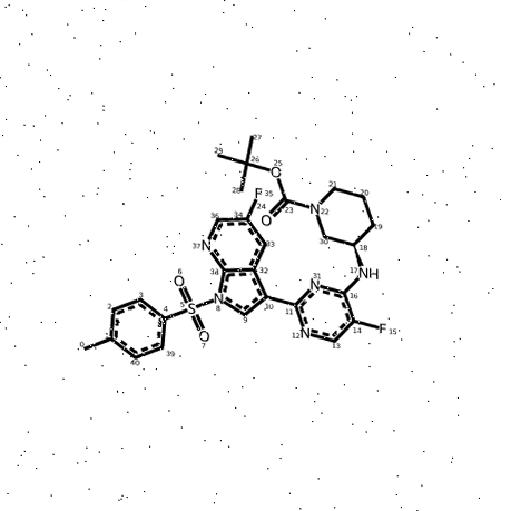 Cc1ccc(S(=O)(=O)n2cc(-c3ncc(F)c(N[C@@H]4CCCN(C(=O)OC(C)(C)C)C4)n3)c3cc(F)cnc32)cc1